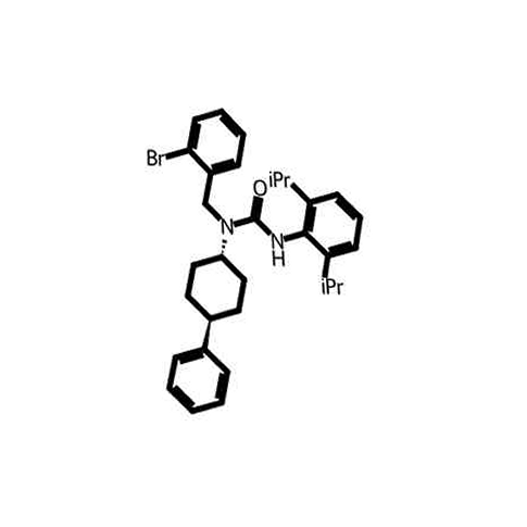 CC(C)c1cccc(C(C)C)c1NC(=O)N(Cc1ccccc1Br)[C@H]1CC[C@H](c2ccccc2)CC1